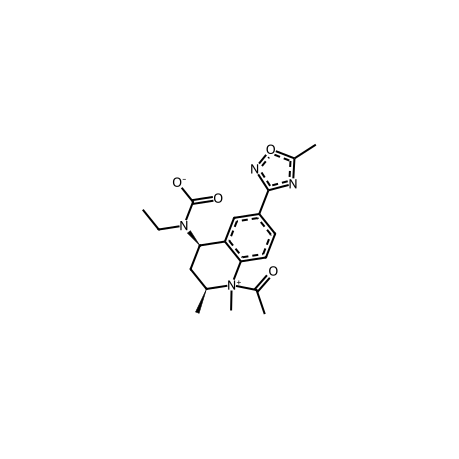 CCN(C(=O)[O-])[C@@H]1C[C@H](C)[N+](C)(C(C)=O)c2ccc(-c3noc(C)n3)cc21